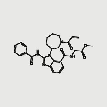 C=CC(=O)N1CCCCC(n2c(NC(=O)c3ccccc3)nc3cccc(C(=O)NCC(=O)OC)c32)C1